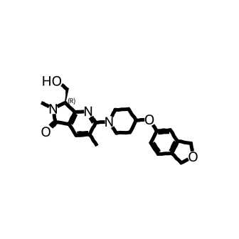 Cc1cc2c(nc1N1CCC(Oc3ccc4c(c3)COC4)CC1)[C@H](CO)N(C)C2=O